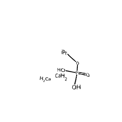 CC(C)OP(=O)(O)O.[CaH2].[CaH2]